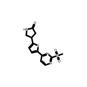 CS(=O)(=O)c1nccc(-c2ccc(C3CNC(=O)C3)s2)n1